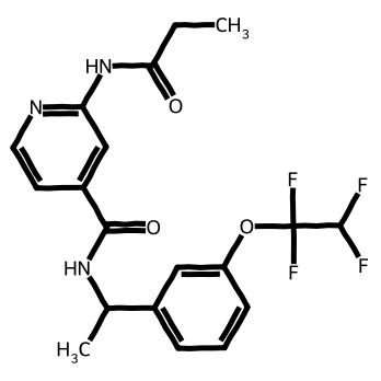 CCC(=O)Nc1cc(C(=O)NC(C)c2cccc(OC(F)(F)C(F)F)c2)ccn1